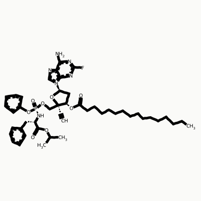 C#C[C@]1(CO[P@@](=O)(N[C@@H](Cc2ccccc2)C(=O)OC(C)C)Oc2ccccc2)O[C@@H](n2cnc3c(N)nc(F)nc32)C[C@@H]1OC(=O)CCCCCCCCCCCCCCC